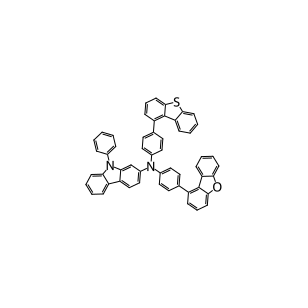 c1ccc(-n2c3ccccc3c3ccc(N(c4ccc(-c5cccc6oc7ccccc7c56)cc4)c4ccc(-c5cccc6sc7ccccc7c56)cc4)cc32)cc1